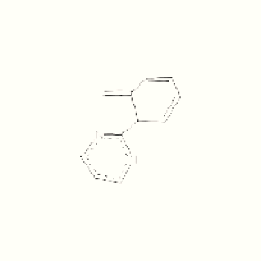 S=C1[C]=CC=CC1c1ncccn1